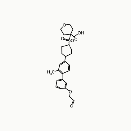 Cc1cc(C2CCN(S(=O)(=O)C3(C(=O)O)CCOCC3)CC2)ccc1-c1cccc(OCC=O)c1